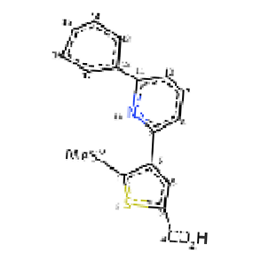 CSc1sc(C(=O)O)cc1-c1cccc(-c2ccccc2)n1